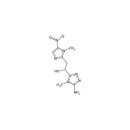 Cn1c([N+](=O)[O-])cnc1CC(S)c1nnc(N)n1C